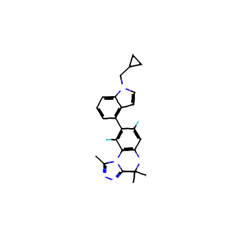 Cc1nnc2n1-c1c(cc(F)c(-c3cccc4c3ccn4CC3CC3)c1F)NC2(C)C